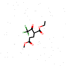 CCOC(=O)C(CCC(=O)OC)C(=O)C(F)(F)F